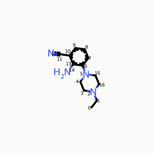 CCN1CCN(c2cccc(C#N)c2N)CC1